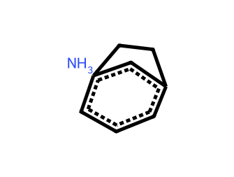 N.c1cc2cc(c1)CC2